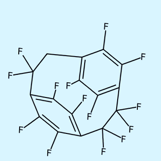 Fc1c(F)c2c(F)c(F)c1CC(F)(F)c1c(F)c(F)c(c(F)c1F)C(F)(F)C2(F)F